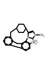 Cc1ccc2c3c1N1C(=CN(C)[C@@H]1C)C1CCC(CC1)Cc1cccc-2c1C3